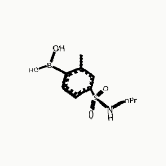 CCCNS(=O)(=O)c1ccc(B(O)O)c(C)c1